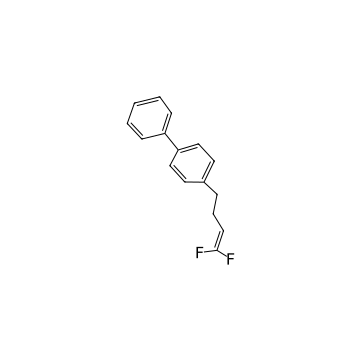 FC(F)=CCCc1ccc(-c2ccccc2)cc1